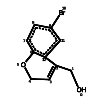 OCC1=CCOc2ccc(Br)cc21